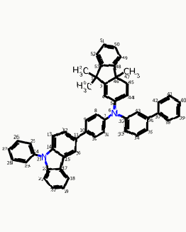 CC1(C)C2=CC(N(c3ccc(-c4ccc5c(c4)c4ccccc4n5-c4ccccc4)cc3)c3cccc(-c4ccccc4)c3)=CCC2(C)c2ccccc21